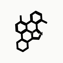 Cc1cccc2c1c1ncc3n1c1c(ccc(C)c21)C12CCCCC31CCCC2